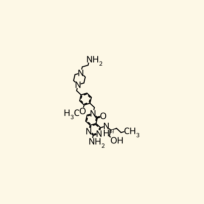 CCC[C@@H](CO)Nc1nc(N)nc2ccn(Cc3ccc(CN4CCN(CCN)CC4)cc3OC)c(=O)c12